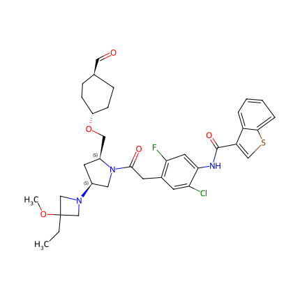 CCC1(OC)CN([C@H]2C[C@@H](CO[C@H]3CC[C@H](C=O)CC3)N(C(=O)Cc3cc(Cl)c(NC(=O)c4csc5ccccc45)cc3F)C2)C1